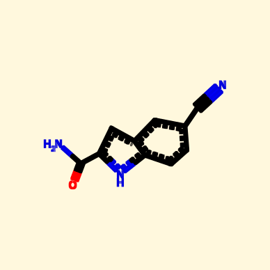 N#Cc1ccc2[nH]c(C(N)=O)cc2c1